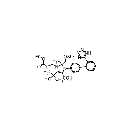 COCC1(C)N(COC(=O)OC(C)C)C(C(C)(C)O)=C(C(=O)O)N1c1ccc(-c2ccccc2-c2nnn[nH]2)cc1